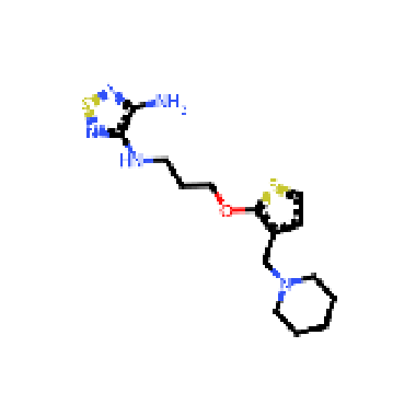 Nc1nsnc1NCCCOc1sccc1CN1CCCCC1